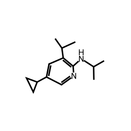 CC(C)Nc1ncc(C2CC2)cc1C(C)C